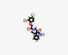 O=C(COc1ccc(Cl)cc1Br)N1CCC2(CC1)C(=O)Nc1ccccc12